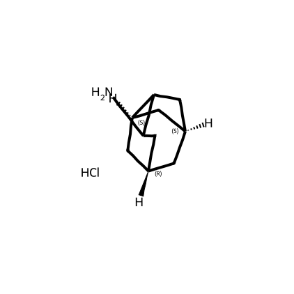 Cl.NC1C[C@@H]2C[C@@H]3CC1[C@H](C2)C3